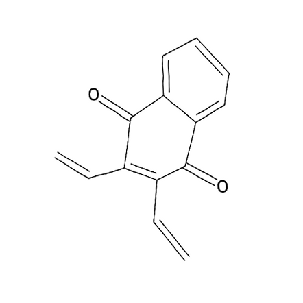 C=CC1=C(C=C)C(=O)c2ccccc2C1=O